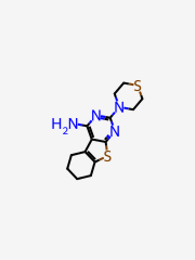 Nc1nc(N2CCSCC2)nc2sc3c(c12)CCCC3